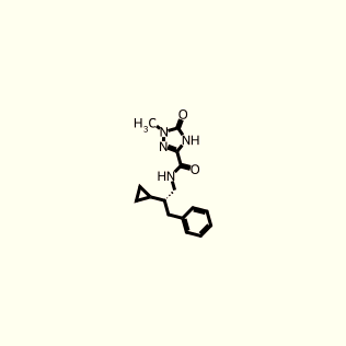 Cn1nc(C(=O)NC[C@H](Cc2ccccc2)C2CC2)[nH]c1=O